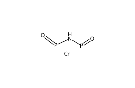 O=PNP=O.[Cr]